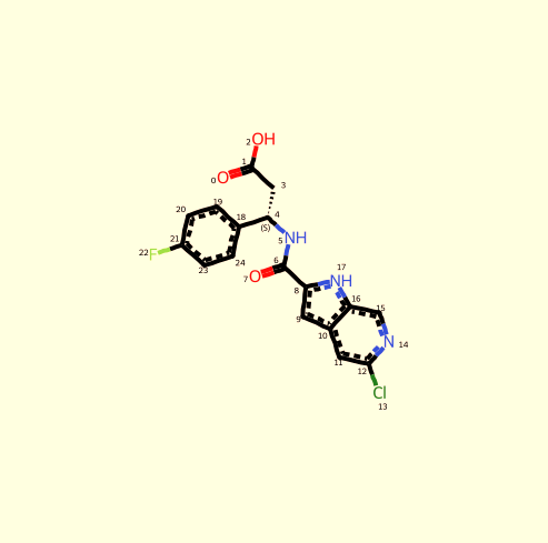 O=C(O)C[C@H](NC(=O)c1cc2cc(Cl)ncc2[nH]1)c1ccc(F)cc1